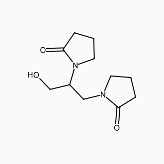 O=C1CCCN1CC(CO)N1CCCC1=O